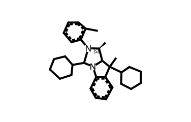 Cc1ccccc1N1C(C2CCCCC2)N2c3ccccc3C(C)(C3CCCCC3)C2[C@@H]1C